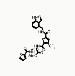 COC(=O)[C@H](CNC(=O)c1cccs1)NC(=O)c1sc(C(=O)NCc2cccc3[nH]ncc23)cc1C(F)(F)F